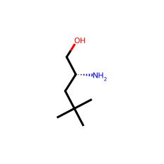 CC(C)(C)C[C@@H](N)CO